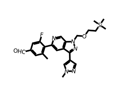 Cc1cc(C=O)cc(F)c1-c1cc2c(-c3cnn(C)c3)nn(COCC[Si](C)(C)C)c2cn1